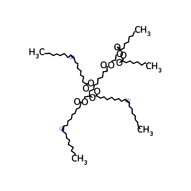 CCCCCCCC/C=C\CCCCCCCC(=O)OCC(OC(=O)CCCCCCC/C=C\CCCCCCCC)C(CCCCCCCC(=O)OCC(COC(=O)CCCCCCC)OC(=O)CCCCCCC)OC(=O)CCCCCCC/C=C\CCCCCCCC